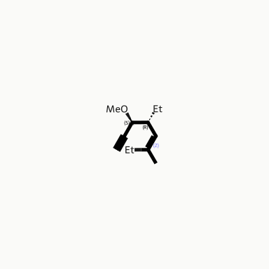 C#C[C@@H](OC)[C@@H](/C=C(/C)CC)CC